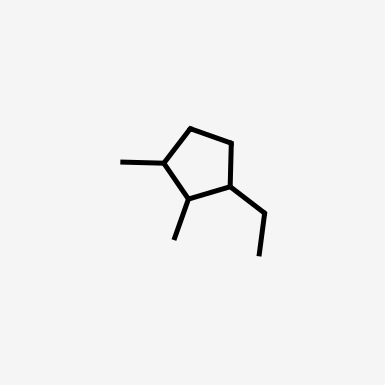 CCC1CCC(C)C1C